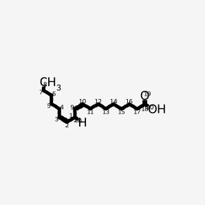 [2H]C(/C=C\CCCCC)/C=C\CCCCCCCC(=O)O